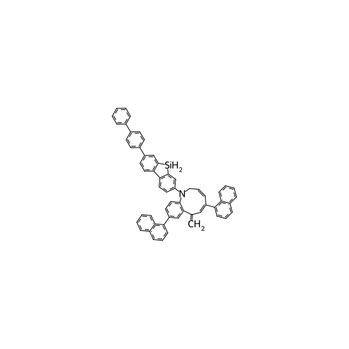 C=C1/C=C(c2cccc3ccccc23)\C=C/CN(c2ccc3c(c2)[SiH2]c2cc(-c4ccc(-c5ccccc5)cc4)ccc2-3)c2ccc(-c3cccc4ccccc34)cc21